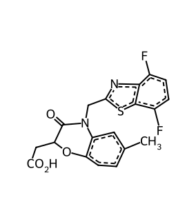 Cc1ccc2c(c1)N(Cc1nc3c(F)ccc(F)c3s1)C(=O)C(CC(=O)O)O2